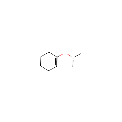 C[SiH](C)OC1=CCCCC1